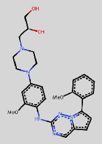 COc1cc(N2CCN(C[C@H](O)CO)CC2)ccc1Nc1ncc2ccc(-c3ccccc3OC)n2n1